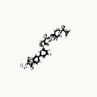 CN(C)C(=O)c1ccc(-c2cccc(-n3ncc4c(=O)n(CC5(O)CCN(C(=O)C6CC6)CC5)cnc43)c2)cc1